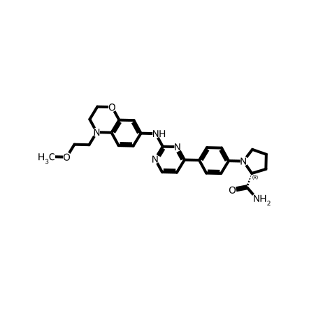 COCCN1CCOc2cc(Nc3nccc(-c4ccc(N5CCC[C@@H]5C(N)=O)cc4)n3)ccc21